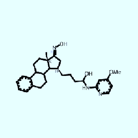 COc1ccnc(NC(O)CCC[C@@H]2C/C(=N\O)[C@@]3(C)CCC4c5ccccc5CCC4C23)c1